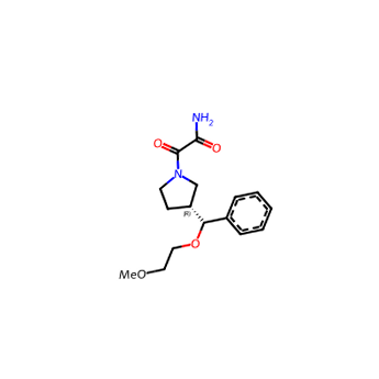 COCCOC(c1ccccc1)[C@@H]1CCN(C(=O)C(N)=O)C1